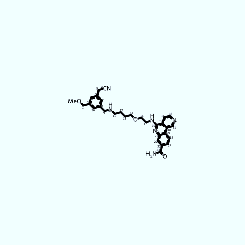 COCc1cc(CC#N)cc(CNCCCCOCCNc2nc3cc(C(N)=O)ccc3c3cnccc23)c1